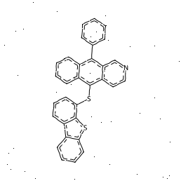 c1ccc(-c2c3ccccc3c(Sc3cccc4c3sc3ccccc34)c3ccncc23)cc1